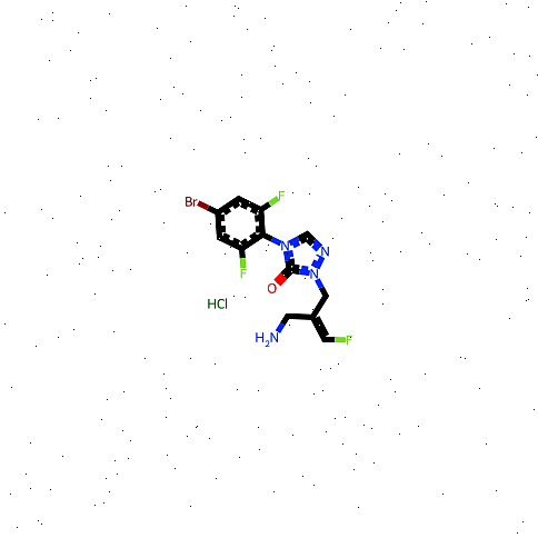 Cl.NC/C(=C/F)Cn1ncn(-c2c(F)cc(Br)cc2F)c1=O